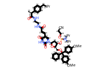 COc1ccc(C(OC[C@H]2O[C@@H](n3cc(/C=C/C(=O)NCCNC(=O)[C@@H](C)c4ccc(CC(C)C)cc4)c(=O)[nH]c3=O)C[C@H]2OP(OCCC#N)N(C(C)C)C(C)C)(c2ccccc2)c2ccc(OC)cc2)cc1